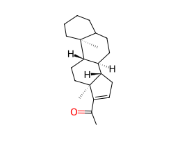 CC(=O)C1=CC[C@H]2[C@@H]3CCC4CCCC[C@]4(C)[C@H]3CC[C@]12C